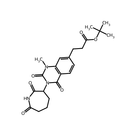 Cn1c(=O)n(C2CCCC(=O)NC2=O)c(=O)c2ccc(CCC(=O)OC(C)(C)C)cc21